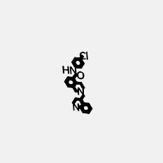 O=C(Nc1ccc(Cl)cc1)c1cccc2c1CCN(CC1=c3ccccc3=NCC1)C2